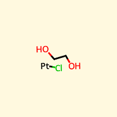 OCCO.[Cl][Pt]